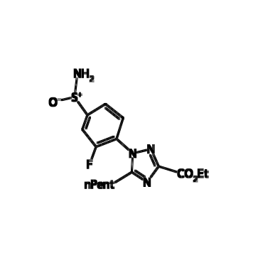 CCCCCc1nc(C(=O)OCC)nn1-c1ccc([S+](N)[O-])cc1F